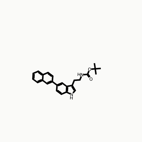 CC(C)(C)OC(=O)NCCc1c[nH]c2ccc(-c3ccc4ccccc4c3)cc12